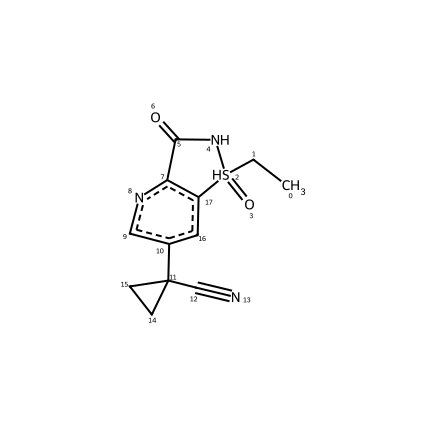 CC[SH]1(=O)NC(=O)c2ncc(C3(C#N)CC3)cc21